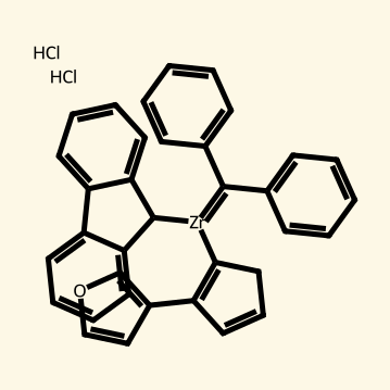 C1=CC(c2ccoc2)=[C]([Zr](=[C](c2ccccc2)c2ccccc2)[CH]2c3ccccc3-c3ccccc32)C1.Cl.Cl